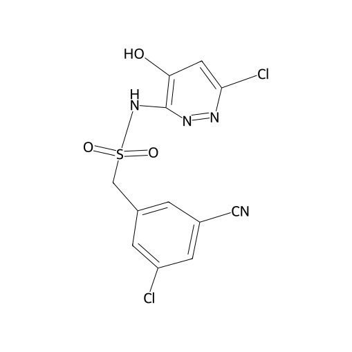 N#Cc1cc(Cl)cc(CS(=O)(=O)Nc2nnc(Cl)cc2O)c1